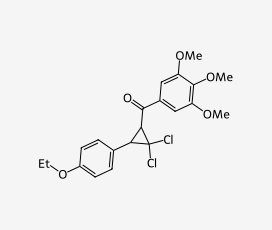 CCOc1ccc(C2C(C(=O)c3cc(OC)c(OC)c(OC)c3)C2(Cl)Cl)cc1